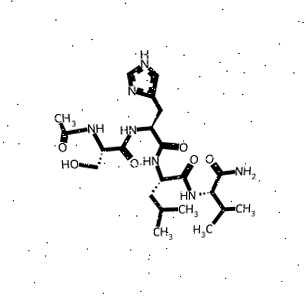 CC(=O)N[C@@H](CO)C(=O)N[C@@H](Cc1c[nH]cn1)C(=O)N[C@@H](CC(C)C)C(=O)N[C@H](C(N)=O)C(C)C